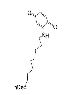 CCCCCCCCCCCCCCCCCCNC1=CC(=O)C=CC1=O